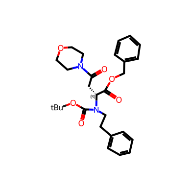 CC(C)(C)OC(=O)N(CCc1ccccc1)[C@H](CC(=O)N1CCOCC1)C(=O)OCc1ccccc1